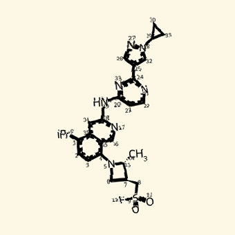 CC(C)c1ccc(N2C[C@H](CS(=O)(=O)F)[C@H]2C)c2cnc(Nc3ccnc(-c4cnn(C5CC5)c4)n3)cc12